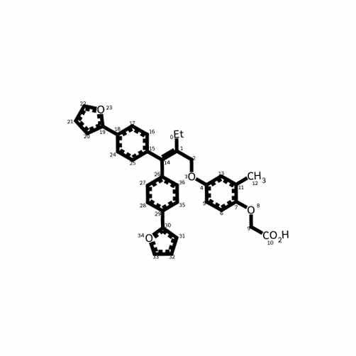 CCC(COc1ccc(OCC(=O)O)c(C)c1)=C(c1ccc(-c2ccco2)cc1)c1ccc(-c2ccco2)cc1